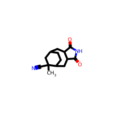 CC1(C#N)CC2CCC1CC1C(=O)NC(=O)C1C2